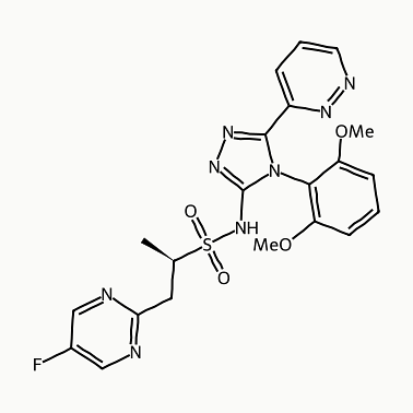 COc1cccc(OC)c1-n1c(NS(=O)(=O)[C@H](C)Cc2ncc(F)cn2)nnc1-c1cccnn1